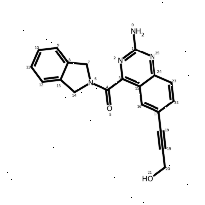 Nc1nc(C(=O)N2Cc3ccccc3C2)c2cc(C#CCO)ccc2n1